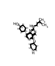 CC(C)CCNc1ncc2c(OC3CCNCC3)ncc([C@H]3CC[C@H](O)CC3)c2n1